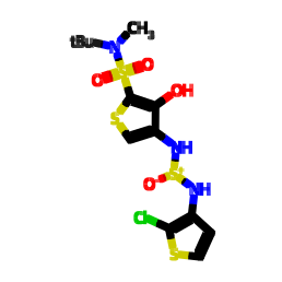 CN(C(C)(C)C)S(=O)(=O)c1scc(N[S+]([O-])Nc2ccsc2Cl)c1O